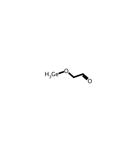 O=CC[O][GeH3]